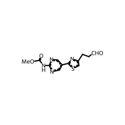 COC(=O)Nc1ncc(-c2nc(CCC=O)cs2)cn1